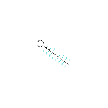 FC(F)(F)C(F)(F)C(F)(F)C(F)(F)C(F)(F)C(F)(F)C(F)(F)C(F)(F)c1[c]cccc1